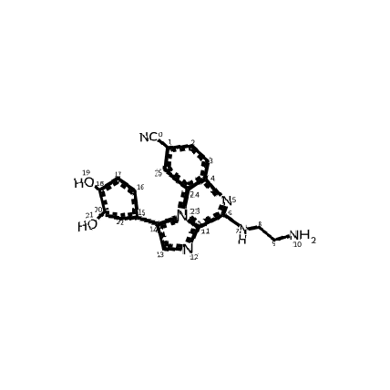 N#Cc1ccc2nc(NCCN)c3ncc(-c4ccc(O)c(O)c4)n3c2c1